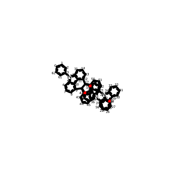 c1ccc(-n2c3cccc4c3c3c(cccc32)C23c5ccc(-n6c7ccccc7c7ccccc76)c6cccc(c56)C42c2cccc4c2c2c3cccc2n4-c2ccccc2)cc1